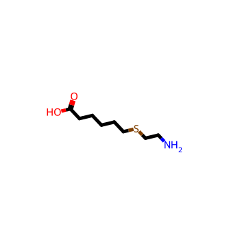 NCCSCCCCCC(=O)O